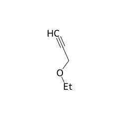 C#CCOCC